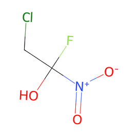 O=[N+]([O-])C(O)(F)CCl